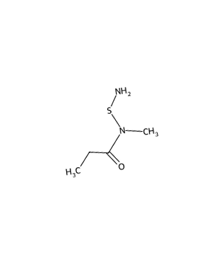 CCC(=O)N(C)SN